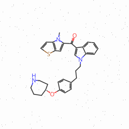 Cn1c(C(=O)c2cn(CCCc3ccc(O[C@H]4CCCNCC4)cc3)c3ccccc23)cc2sccc21